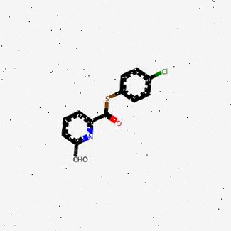 O=Cc1cccc(C(=O)Sc2ccc(Cl)cc2)n1